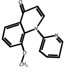 COc1cccc2c(=O)ccn(-c3ccccn3)c12